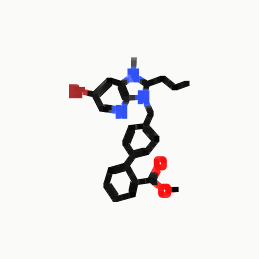 CCCC1N(C)c2cc(Br)cnc2N1Cc1ccc(-c2ccccc2C(=O)OC)cc1